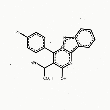 CCCC(C(=O)O)c1c(O)nc2c3ccccc3nn2c1-c1ccc(C(C)C)cc1